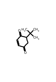 CC(C)(C)C1CC(=O)C=CC1=O